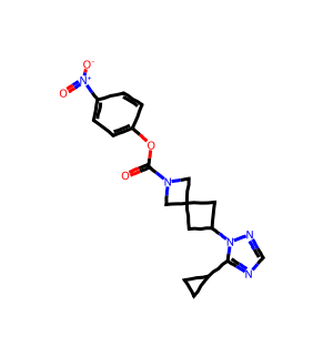 O=C(Oc1ccc([N+](=O)[O-])cc1)N1CC2(CC(n3ncnc3C3CC3)C2)C1